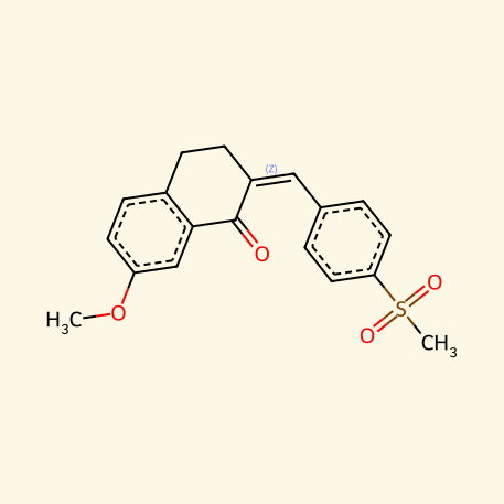 COc1ccc2c(c1)C(=O)/C(=C\c1ccc(S(C)(=O)=O)cc1)CC2